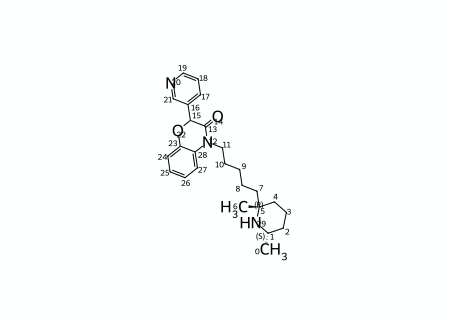 C[C@H]1CCC[C@@](C)(CCCCCN2C(=O)C(c3cccnc3)Oc3ccccc32)N1